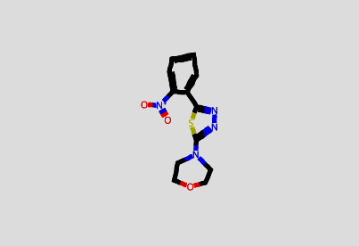 O=[N+]([O-])c1ccccc1-c1nnc(N2CCOCC2)s1